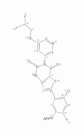 COc1cc(-c2cc3[nH]c(=O)n(-c4cncc(OCC(F)F)c4)c(=O)c3s2)c(Cl)cc1F